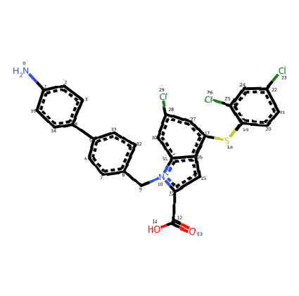 Nc1ccc(-c2ccc(Cn3c(C(=O)O)cc4c(Sc5ccc(Cl)cc5Cl)cc(Cl)cc43)cc2)cc1